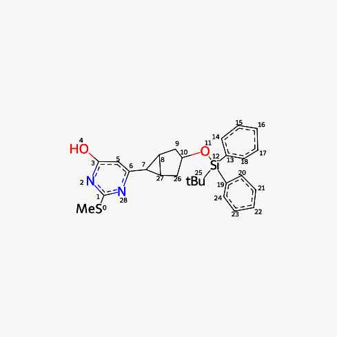 CSc1nc(O)cc(C2C3CC(O[Si](c4ccccc4)(c4ccccc4)C(C)(C)C)CC32)n1